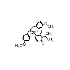 COc1ccc(CN(Cc2ccc(OC)cc2)S(=O)(=O)c2ccc(=O)n(C(C)C)c2I)cc1